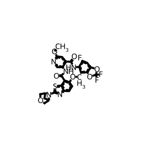 COc1cc(C(=O)Nc2cc3c(cc2F)OC(F)(F)O3)c(NC(=O)c2c(OC)ccc3nc(N4C5COCC4C5)sc23)cn1